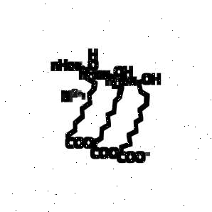 CCCCCC[C@@H](O)C/C=C\CCCCCCCC(=O)[O-].CCCCCC[C@@H](O)C/C=C\CCCCCCCC(=O)[O-].CCCCCC[C@@H](O)C/C=C\CCCCCCCC(=O)[O-].[Bi+3]